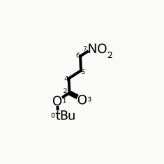 CC(C)(C)OC(=O)CCC[N+](=O)[O-]